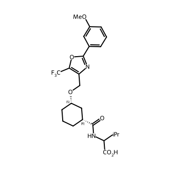 COc1cccc(-c2nc(CO[C@H]3CCC[C@@H](C(=O)NC(C(=O)O)C(C)C)C3)c(C(F)(F)F)o2)c1